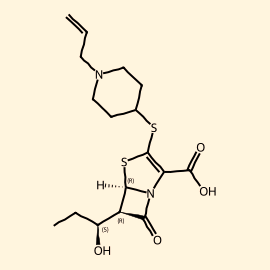 C=CCN1CCC(SC2=C(C(=O)O)N3C(=O)[C@@H]([C@@H](O)CC)[C@H]3S2)CC1